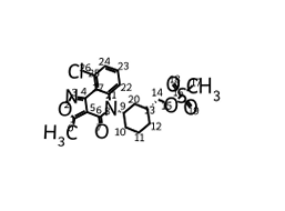 Cc1onc2c1c(=O)n([C@H]1CCC[C@@H](COS(C)(=O)=O)C1)c1cccc(Cl)c21